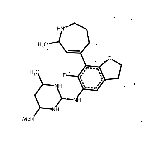 CNC1CC(C)NC(Nc2cc3c(c(C4=CC(C)NCCC4)c2F)OCC3)N1